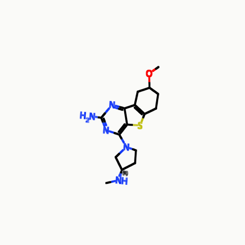 CN[C@@H]1CCN(c2nc(N)nc3c4c(sc23)CCC(OC)C4)C1